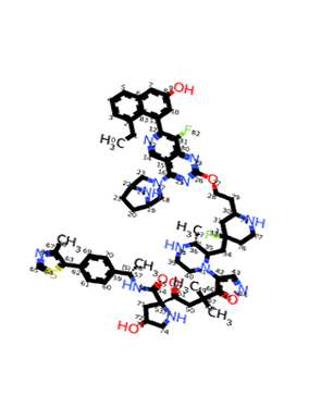 CCc1cccc2cc(O)cc(-c3ncc4c(N5CC6CCC(C5)N6)nc(OCCC5CC(F)(CC6[C@@H](C)NCCN6c6cnoc6C(C)(C)CC(=O)[C@]6(C(=O)N[C@@H](C)c7ccc(-c8scnc8C)cc7)CC(O)CN6)CCN5)nc4c3F)c12